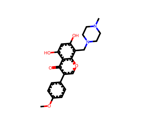 COc1ccc(-c2coc3c(CN4CCN(C)CC4)c(O)cc(O)c3c2=O)cc1